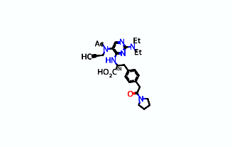 C#CCN(C(C)=O)c1cnc(N(CC)CC)nc1N[C@@H](Cc1ccc(CC(=O)N2CCCC2)cc1)C(=O)O